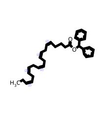 CC/C=C\C/C=C\C/C=C\C/C=C\C/C=C\CCCC(=O)OC(c1ccccc1)c1ccccc1